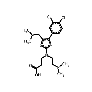 CC(C)Cc1sc(N(CCC(=O)O)CCN(C)C)nc1-c1ccc(Cl)c(Cl)c1